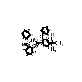 CC(C)(C)c1ccc(C(=O)O)c(Oc2ccccc2)c1.O=C(Oc1ccccc1)c1ccccc1O